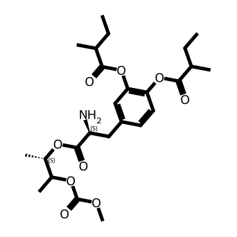 CCC(C)C(=O)Oc1ccc(C[C@H](N)C(=O)O[C@@H](C)C(C)OC(=O)OC)cc1OC(=O)C(C)CC